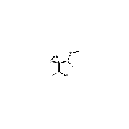 COC(C)C1(C(C)F)CO1